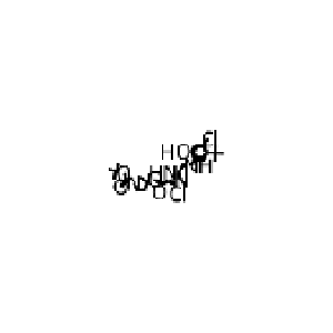 CC(C)(C)OC(=O)N1CC[C@@H](OC(=O)c2[nH]c(CNc3cc(C(C)(C)C)c(Cl)cc3O)nc2Cl)C1